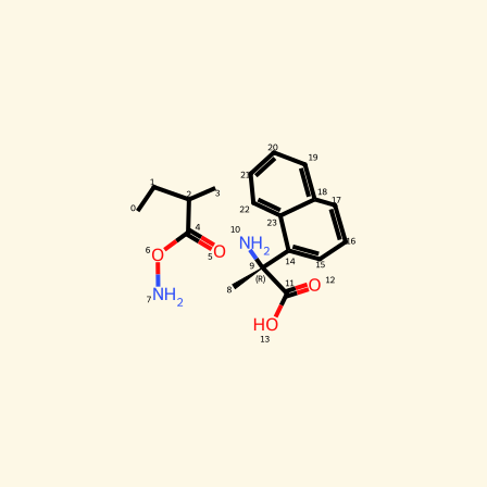 CCC(C)C(=O)ON.C[C@](N)(C(=O)O)c1cccc2ccccc12